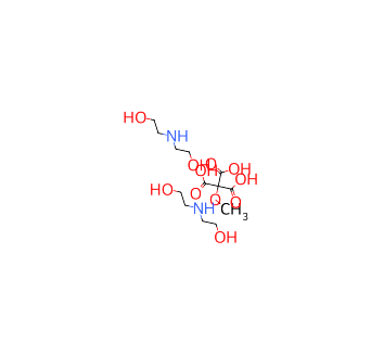 COC(C(=O)O)(C(=O)O)C(=O)O.OCCNCCO.OCCNCCO